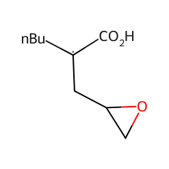 CCCC[C](CC1CO1)C(=O)O